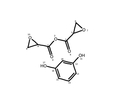 O=C(OC(=O)C1CO1)C1CO1.Oc1cccc(O)c1